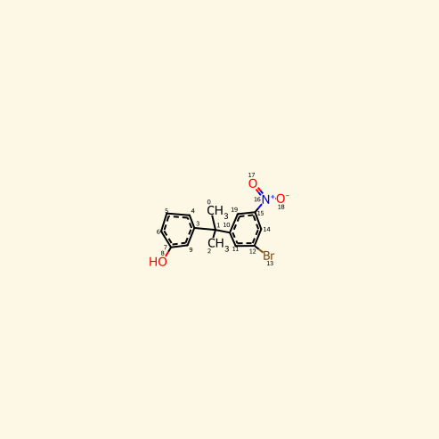 CC(C)(c1cccc(O)c1)c1cc(Br)cc([N+](=O)[O-])c1